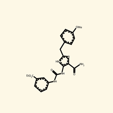 CCOC(=O)c1cccc(NC(=O)Nc2[nH]c(Cc3ccc(OC)cc3)nc2C(N)=O)c1